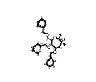 c1ccc(COC[C@H]2O[C@@H]3O[C@@H]3C[C@@H](OCc3ccccc3)[C@@H]2OCc2ccccc2)cc1